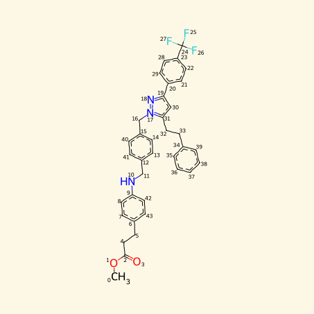 COC(=O)CCc1ccc(NCc2ccc(Cn3nc(-c4ccc(C(F)(F)F)cc4)cc3CCc3ccccc3)cc2)cc1